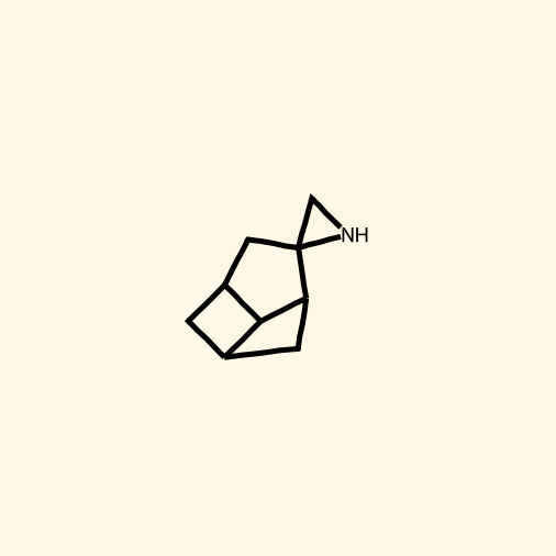 C1C2CC3C2C1CC31CN1